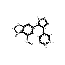 COc1cc(-c2oncc2-c2ccnnc2)cc2c1OCO2